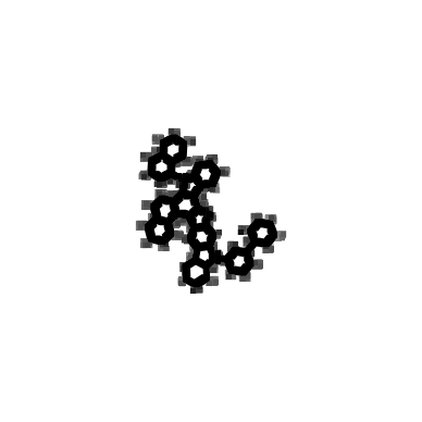 C1=CC2c3cc4c(cc3N(c3cccc(-c5ccccc5)c3)C2C=C1)sc1c4c2c3ccccc3ccc2c2c1c1ccccc1n2-c1cccc2ccccc12